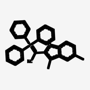 Cc1ccc2oc(C(C#N)=P(c3ccccc3)(c3ccccc3)c3ccccc3)c(C)c2c1